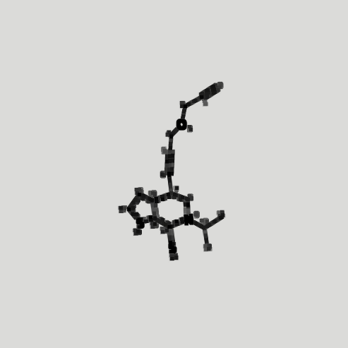 C#CCOCC#Cc1cn(C(C)C)c(=S)c2sccc12